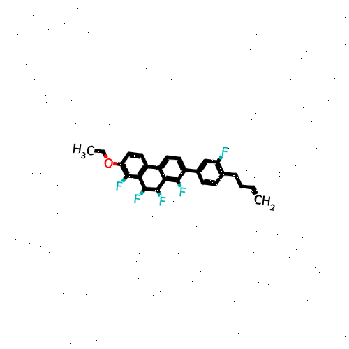 C=CCCc1ccc(-c2ccc3c(c2F)C(F)C(F)c2c-3ccc(OCC)c2F)cc1F